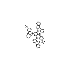 CC(C)(C)c1ccc2c(c1)N(c1cccc3c1oc1ccccc13)c1cc(N3c4ccc(C(C)(C)C)cc4C4(C)CCCCC34C)cc3c1B2c1cccc2c4c5ccccc5sc4n-3c12